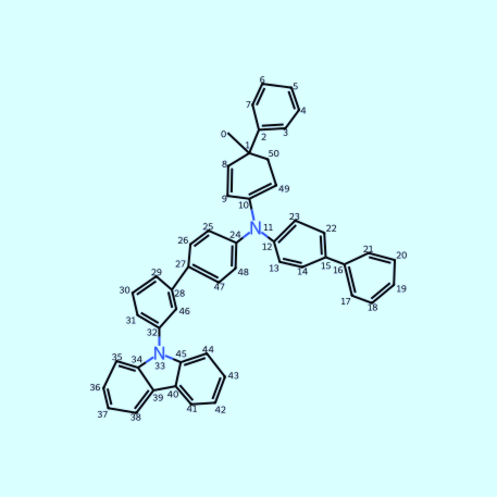 CC1(c2ccccc2)C=CC(N(c2ccc(-c3ccccc3)cc2)c2ccc(-c3cccc(-n4c5ccccc5c5ccccc54)c3)cc2)=CC1